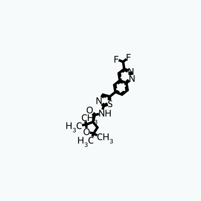 CC1(C)CC(C(=O)Nc2ncc(-c3ccc4nnc(C(F)F)cc4c3)s2)C(C)(C)O1